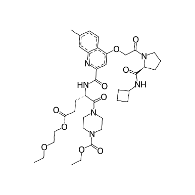 CCOCCOC(=O)CC[C@H](NC(=O)c1cc(OCC(=O)N2CCC[C@H]2C(=O)NC2CCC2)c2ccc(C)cc2n1)C(=O)N1CCN(C(=O)OCC)CC1